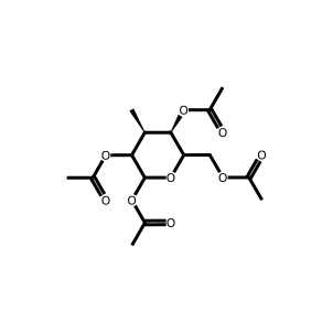 CC(=O)OCC1OC(OC(C)=O)C(OC(C)=O)[C@@H](C)[C@H]1OC(C)=O